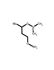 C[SiH](C)OC(CCON)C(C)(C)C